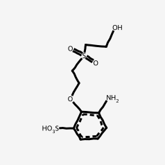 Nc1cccc(S(=O)(=O)O)c1OCCS(=O)(=O)CCO